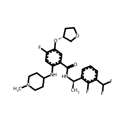 C[C@@H](NC(=O)c1cc(O[C@@H]2CCOC2)c(F)cc1NC1CCN(C)CC1)c1cccc(C(F)F)c1F